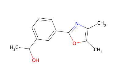 Cc1nc(-c2cccc(C(C)O)c2)oc1C